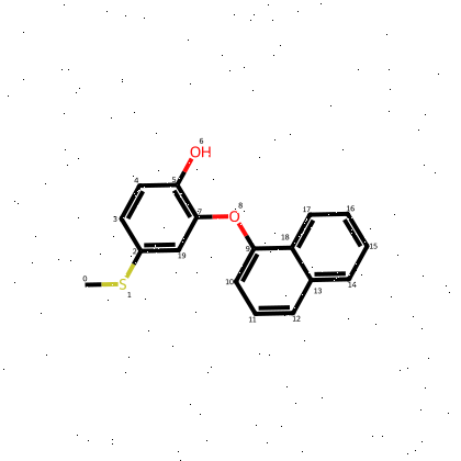 CSc1ccc(O)c(Oc2cccc3ccccc23)c1